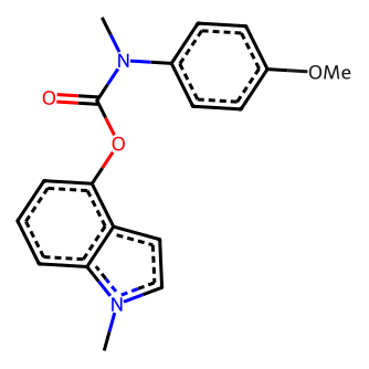 COc1ccc(N(C)C(=O)Oc2cccc3c2ccn3C)cc1